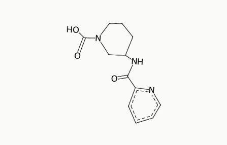 O=C(NC1CCCN(C(=O)O)C1)c1ccccn1